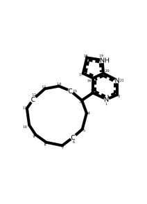 c1nc(C2CCCCCCCCCCCC2)c2cc[nH]c2n1